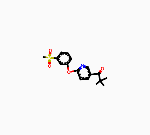 CC(C)(C)C(=O)c1ccc(Oc2cccc(S(C)(=O)=O)c2)nc1